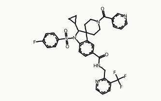 O=C(NCc1ncccc1C(F)(F)F)c1ccc2c(c1)C1(CCN(C(=O)c3cccnc3)CC1)C(C1CC1)N2S(=O)(=O)c1ccc(F)cc1